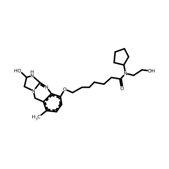 Cc1ccc(OCCCCCCC(=O)N(CCO)C2CCCC2)c2c1CN1CC(O)NC1=N2